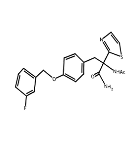 CC(=O)NC(Cc1ccc(OCc2cccc(F)c2)cc1)(C(N)=O)c1nccs1